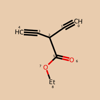 C#CC(C#C)C(=O)OCC